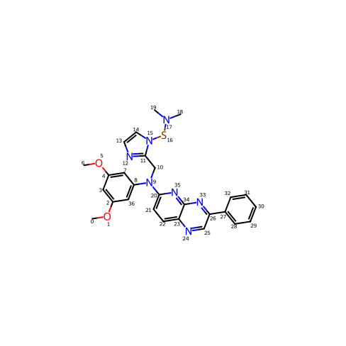 COc1cc(OC)cc(N(Cc2nccn2SN(C)C)c2ccc3ncc(-c4ccccc4)nc3n2)c1